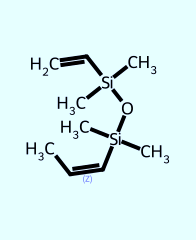 C=C[Si](C)(C)O[Si](C)(C)/C=C\C